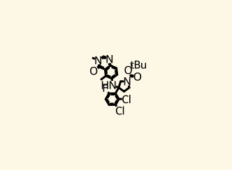 Cc1c(NC2(c3c(F)ccc(Cl)c3Cl)CCN(C(=O)OC(C)(C)C)C2)ccc2ncn(C)c(=O)c12